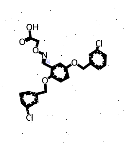 O=C(O)CO/N=C/c1cc(OCc2cccc(Cl)c2)ccc1OCc1cccc(Cl)c1